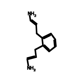 NC=CCc1ccccc1CC=CN